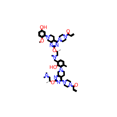 C=CC(=O)N1CCN(c2nc(O[C@H](C)CN(C)C)nc3c2CCN(c2c(C)ccc(CN(C)C[C@@H](C)Oc4nc5c(c(N6CCN(C(=O)C=C)CC6)n4)CCN(c4cc(O)ccc4OC)C5)c2O)C3)CC1